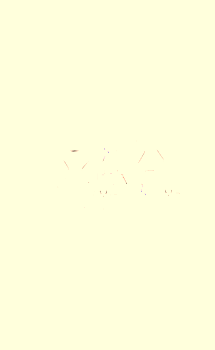 CO/N=C(/C(=O)OC)c1cccc(C)c1CO/N=C(\C)c1ccc(C)c(C)c1C(C)(P)P